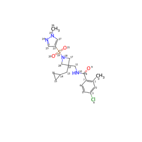 Cc1cc(Cl)ccc1C(=O)NCC1(CC2CC2)CN(S(=O)(=O)c2cnn(C)c2)C1